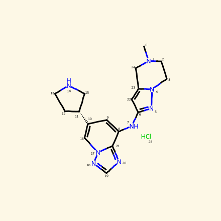 CN1CCn2nc(Nc3cc([C@@H]4CCNC4)cn4ncnc34)cc2C1.Cl